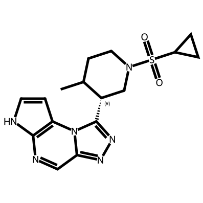 CC1CCN(S(=O)(=O)C2CC2)C[C@@H]1c1nnc2cnc3[nH]ccc3n12